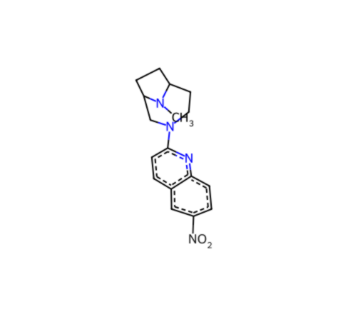 CN1C2CCC1CN(c1ccc3cc([N+](=O)[O-])ccc3n1)CC2